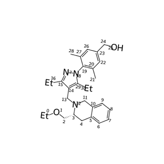 CCOC[C@H]1Cc2ccccc2CN1Cc1c(CC)nn(-c2c(C)cc(CO)cc2C)c1CC